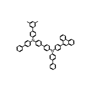 Cc1cc(C)cc(-c2ccc(N(c3ccc(-c4ccccc4)cc3)c3ccc(-c4ccc(N(c5ccc(-c6ccccc6)cc5)c5ccc(-c6cc7ccccc7c7ccccc67)cc5)cc4)cc3)cc2)c1